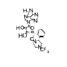 Nc1ncnc2c1ncn2[C@@H]1O[C@H](CON2CCN(C(F)(F)F)CC2c2ccccc2)[C@@H](O)[C@H]1O